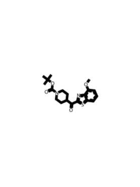 COc1cccc2sc(C(=O)C3CCN(C(=O)OC(C)(C)C)CC3)nc12